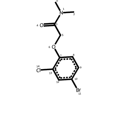 CN(C)C(=O)COc1c[c]c(Br)cc1Cl